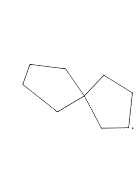 [CH]1CCC2(C1)CCCC2